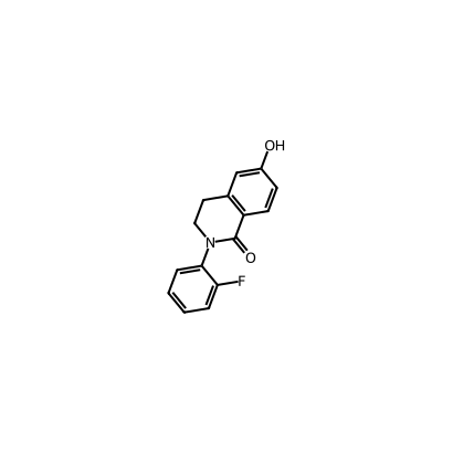 O=C1c2ccc(O)cc2CCN1c1ccccc1F